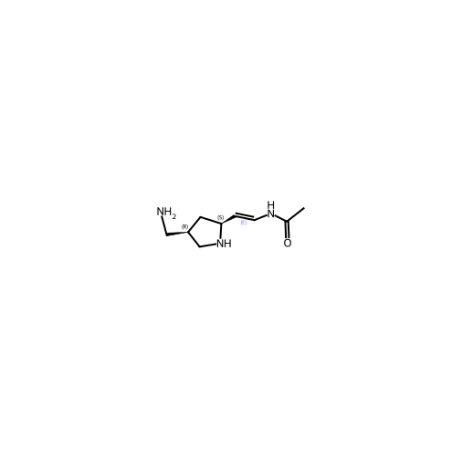 CC(=O)N/C=C/[C@@H]1C[C@H](CN)CN1